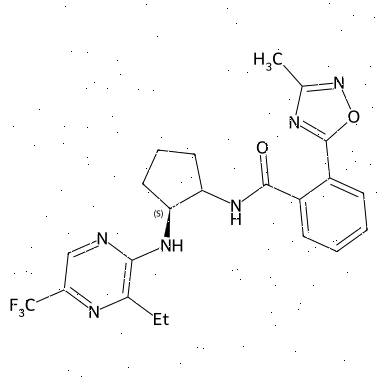 CCc1nc(C(F)(F)F)cnc1N[C@H]1CCCC1NC(=O)c1ccccc1-c1nc(C)no1